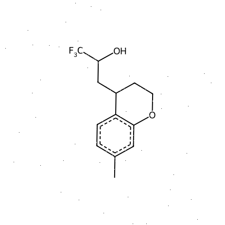 Cc1ccc2c(c1)OCCC2CC(O)C(F)(F)F